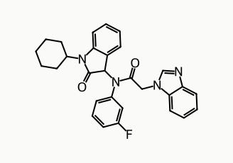 O=C1C(N(C(=O)Cn2cnc3ccccc32)c2cccc(F)c2)c2ccccc2N1C1CCCCC1